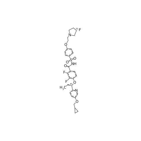 CC[C@@H](Oc1ccc(C(=O)NS(=O)(=O)c2ccc(OCCN3CC[C@H](F)C3)cc2)c(F)c1F)c1ccc(OCC2CC2)cn1